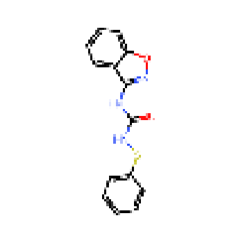 O=C(NSc1ccccc1)Nc1noc2ccccc12